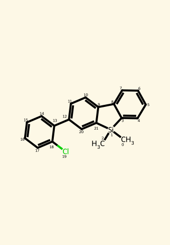 C[Si]1(C)c2ccccc2-c2ccc(-c3ccccc3Cl)cc21